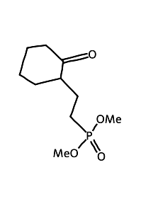 COP(=O)(CCC1CCCCC1=O)OC